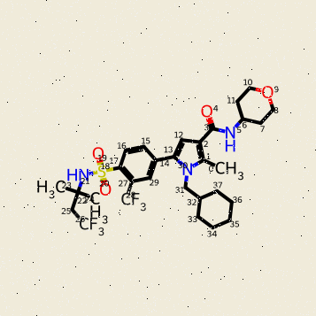 Cc1c(C(=O)NC2CCOCC2)cc(-c2ccc(S(=O)(=O)NC(C)(C)CC(F)(F)F)c(C(F)(F)F)c2)n1CC1CCCCC1